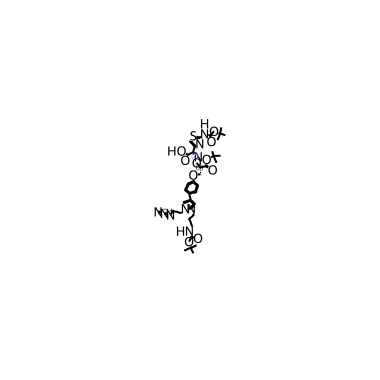 CC(C)(C)OC(=O)NCCCn1cc(-c2ccc(OC[C@H](O/N=C(\C(=O)O)c3csc(NC(=O)OC(C)(C)C)n3)C(=O)OC(C)(C)C)cc2)c[n+]1CCN=[N+]=[N-]